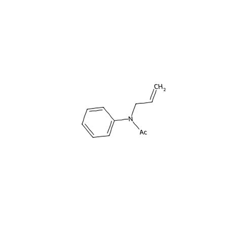 C=CCN(C(C)=O)c1ccccc1